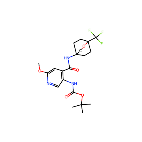 COc1cc(C(=O)NC23CCC(C(F)(F)F)(CC2)OC3)c(NC(=O)OC(C)(C)C)cn1